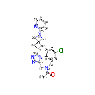 CC(C)C(=O)N1Cc2cc(Cl)ccc2-n2c(nnc2C2CC3(C2)CN(c2ccccn2)C3)C1